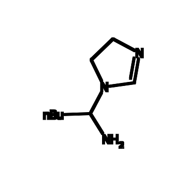 CCCCC(N)N1C=NCC1